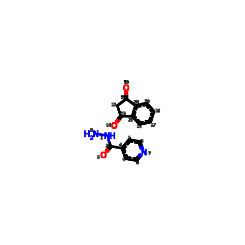 NNC(=O)c1ccncc1.O=C1CC(=O)c2ccccc21